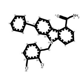 NC(=O)c1cccc2c1c1[c]cc(-c3ccccc3)cc1n2Cc1cccc(Cl)c1Cl